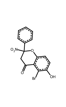 O=C1CC(c2ccccc2)([N+](=O)[O-])Oc2ccc(O)c(Br)c21